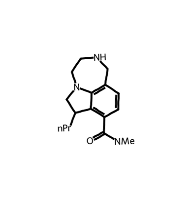 CCCC1CN2CCNCc3ccc(C(=O)NC)c1c32